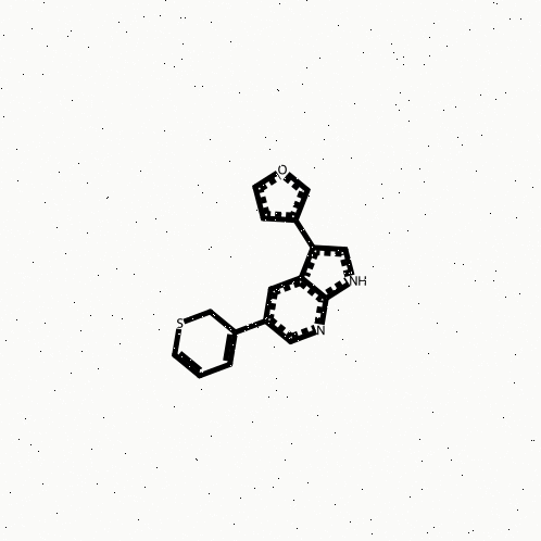 C1=CSCC(c2cnc3[nH]cc(-c4ccoc4)c3c2)=C1